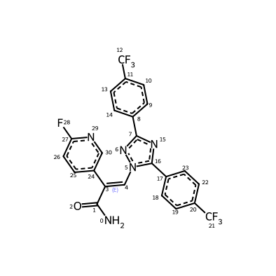 NC(=O)/C(=C/n1nc(-c2ccc(C(F)(F)F)cc2)nc1-c1ccc(C(F)(F)F)cc1)c1ccc(F)nc1